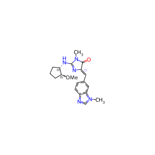 CO[C@H]1CCC[C@@H]1NC1=N/C(=C\c2ccc3ncn(C)c3c2)C(=O)N1C